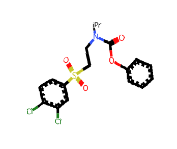 CC(C)N(CCS(=O)(=O)c1ccc(Cl)c(Cl)c1)C(=O)Oc1ccccc1